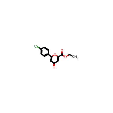 CCOC(=O)c1cc(=O)cc(-c2ccc(Cl)cc2)o1